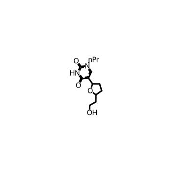 CCCn1cc(C2CCC(CCO)O2)c(=O)[nH]c1=O